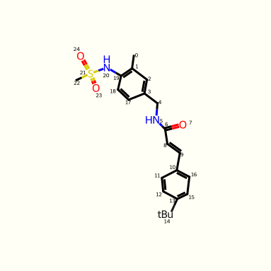 Cc1cc(CNC(=O)C=Cc2ccc(C(C)(C)C)cc2)ccc1NS(C)(=O)=O